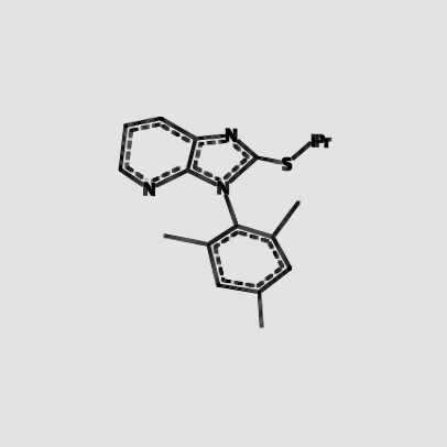 Cc1cc(C)c(-n2c(SC(C)C)nc3cccnc32)c(C)c1